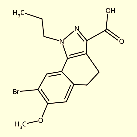 CCCn1nc(C(=O)O)c2c1-c1cc(Br)c(OC)cc1CC2